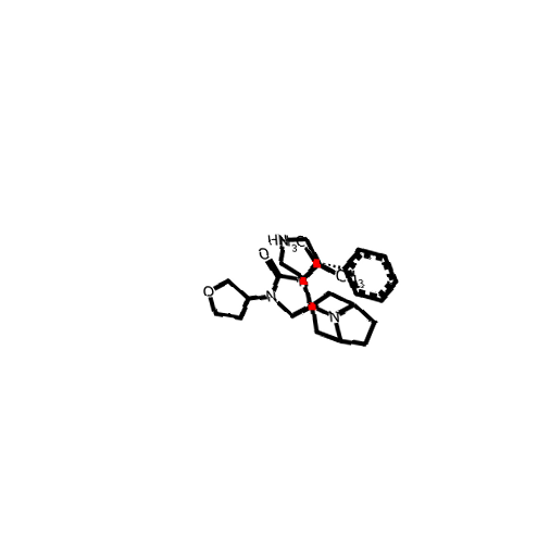 CC(C)N1C(=O)N(C2CCOC2)CC12CC1CCC(C2)N1C[C@H]1CNC[C@@H]1c1ccccc1